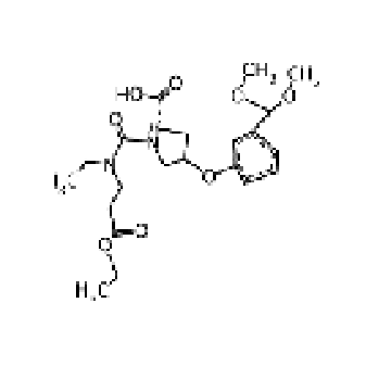 CCOC(=O)CCN(CC)C(=O)N1CC(Oc2cccc(C(OC)OC)c2)C[C@H]1C(=O)O